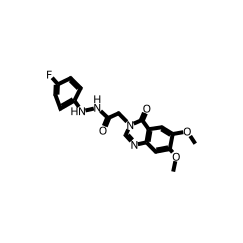 COc1cc2ncn(CC(=O)NNc3ccc(F)cc3)c(=O)c2cc1OC